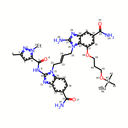 CCn1nc(C)cc1C(=O)Nc1nc2cc(C(N)=O)ccc2n1C/C=C/Cn1c(N)nc2cc(C(N)=O)cc(OCCCO[Si](C)(C)C(C)(C)C)c21